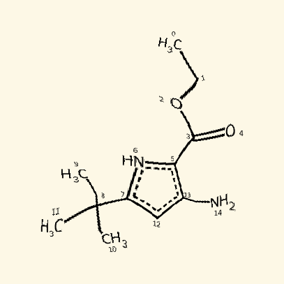 CCOC(=O)c1[nH]c(C(C)(C)C)cc1N